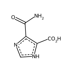 NC(=O)c1nc[nH]c1C(=O)O